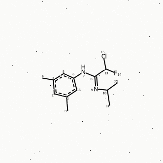 Cc1cc(C)cc(NC(=NC(C)C)C(F)Cl)c1